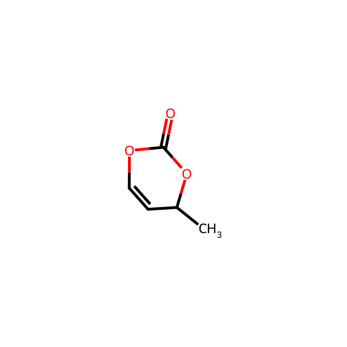 CC1C=COC(=O)O1